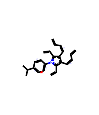 C=C/C=C\c1c(/C=C\C=C)c(C=C)n(C(/C=C\C(=C/C)C(C)C)=C/C)c1C=C